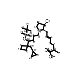 CC(CCC=CC[C@@H]1[C@H](Cl)CCN1CCCC(O[Si](C)(C)C(C)(C)C)C1(CC2CC2)CCC1)C(=O)O